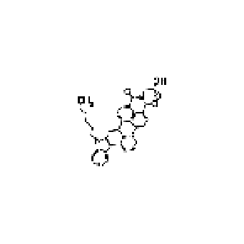 CCCCCCn1c2ccccc2c2c3cccc4c5ccc6c7c(ccc(c(cc21)c43)c75)C(=O)N(CC(=O)O)C6=O